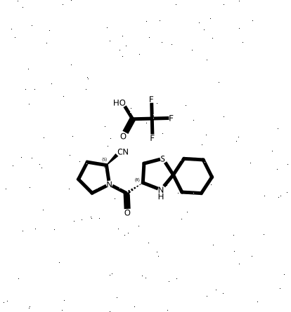 N#C[C@@H]1CCCN1C(=O)[C@@H]1CSC2(CCCCC2)N1.O=C(O)C(F)(F)F